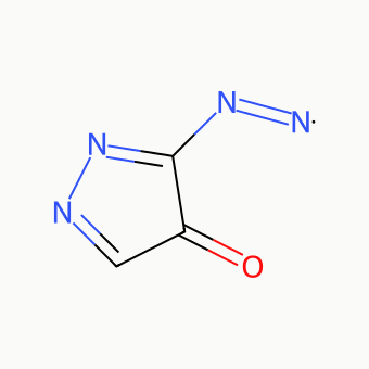 [N]=NC1=NN=CC1=O